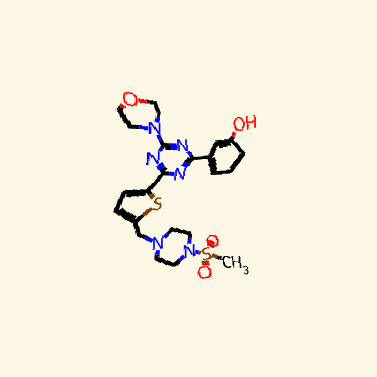 CS(=O)(=O)N1CCN(Cc2ccc(-c3nc(-c4cccc(O)c4)nc(N4CCOCC4)n3)s2)CC1